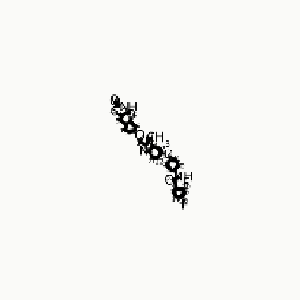 Cn1c(COc2ccc(CC3SC(=O)NC3=O)cc2)nc2ccc(Oc3ccc(NC(=O)c4ccc(F)cc4F)cc3)cc21